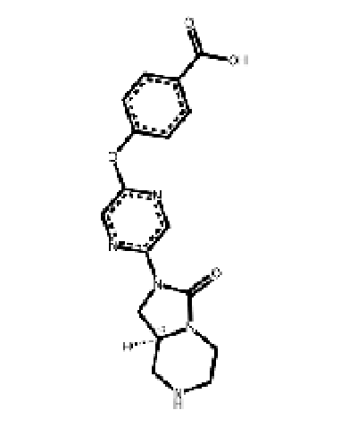 O=C(O)c1ccc(Oc2cnc(N3C[C@@H]4CNCCN4C3=O)cn2)cc1